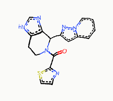 O=C(c1nccs1)N1CCc2[nH]cnc2C1c1cc2ccccn2n1